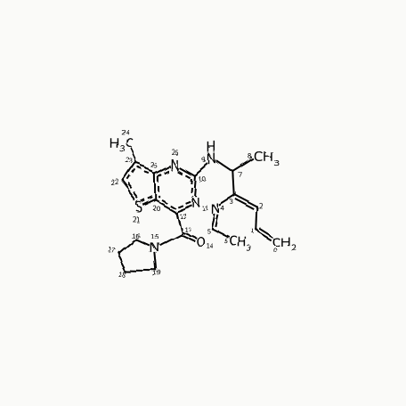 C=C/C=C(\N=C/C)C(C)Nc1nc(C(=O)N2CCCC2)c2scc(C)c2n1